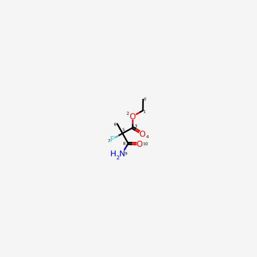 CCOC(=O)C(C)(F)C(N)=O